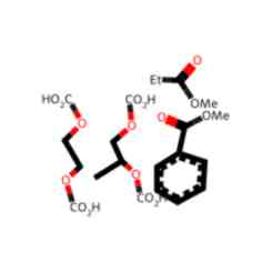 CC(COC(=O)O)OC(=O)O.CCC(=O)OC.COC(=O)c1ccccc1.O=C(O)OCCOC(=O)O